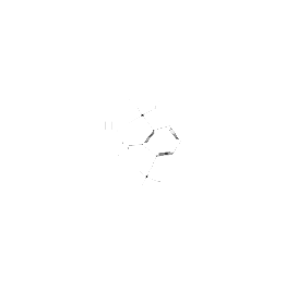 CC(C)(C)c1cccc(C(F)(F)F)c1N